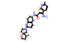 Cc1ccc2c(N)c(C(=O)N[C@H]3CCc4nc(N5CC[C@]6(C5)OCC[C@@H]6C)ccc4C3)sc2n1